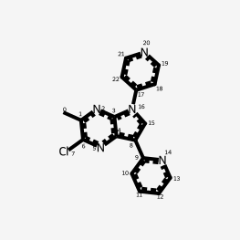 Cc1nc2c(nc1Cl)c(-c1ccccn1)cn2-c1ccncc1